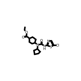 CCOC(=O)C1CCC(N(C(=O)Nc2ncc(Cl)s2)C2CCCC2)CC1